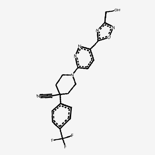 N#CC1(c2ccc(C(F)(F)F)cc2)CCN(c2ccc(-c3nc(CO)no3)nn2)CC1